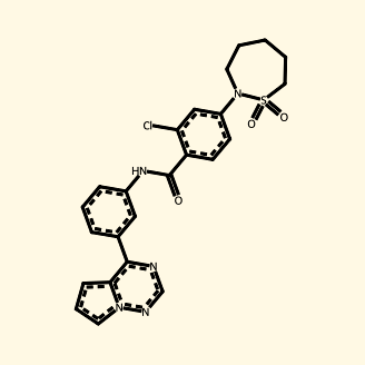 O=C(Nc1cccc(-c2ncnn3cccc23)c1)c1ccc(N2CCCCCS2(=O)=O)cc1Cl